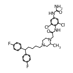 CC1CN(CCCCC(c2ccc(F)cc2)c2ccc(F)cc2)CCN1CC(=O)Nc1c(Cl)cc(NC(N)=O)cc1Cl